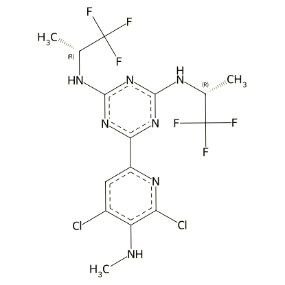 CNc1c(Cl)cc(-c2nc(N[C@H](C)C(F)(F)F)nc(N[C@H](C)C(F)(F)F)n2)nc1Cl